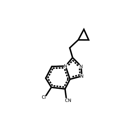 N#Cc1c(Cl)ccn2c(CC3CC3)nnc12